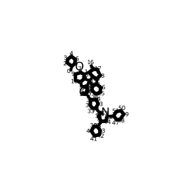 Cc1ccccc1Oc1ccc2c3c1-c1c(C)ccc4c1C3(c1ccccc1-4)c1cc(-c3ccc(-c4cc(-c5ccccc5)cc(-c5ccccc5)n4)cc3)ccc1-2